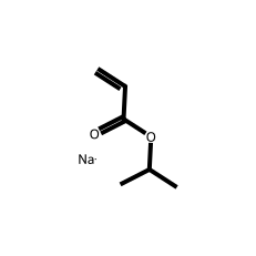 C=CC(=O)OC(C)C.[Na]